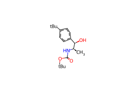 C[C@@H](NC(=O)OC(C)(C)C)[C@H](O)c1ccc(C(C)(C)C)cc1